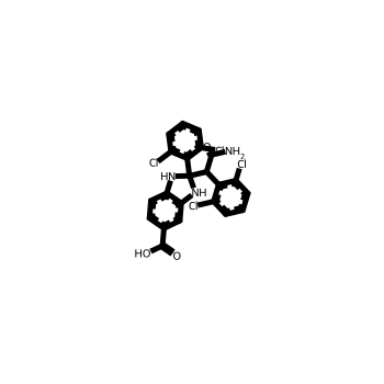 NC(=O)C(c1c(Cl)cccc1Cl)C1(c2c(Cl)cccc2Cl)Nc2ccc(C(=O)O)cc2N1